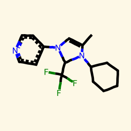 CC1=CN(c2ccncc2)C(C(F)(F)F)N1C1CCCCC1